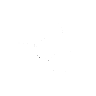 C=CCN1COC=NC1[N+][N+](=O)[O-]